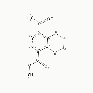 COC(=O)c1ccc(C(C)=O)c2c1CCCC2